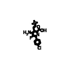 C[Si](C)(C)C=Cc1c(C(=O)O)nc(-c2ccc(Cl)cc2)c(F)c1N